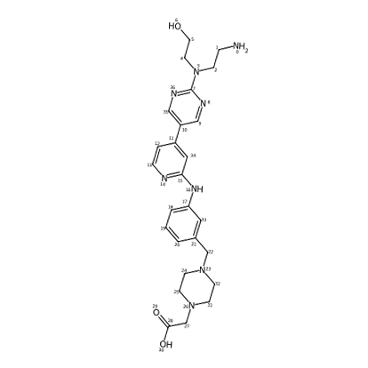 NCCN(CCO)c1ncc(-c2ccnc(Nc3cccc(CN4CCN(CC(=O)O)CC4)c3)c2)cn1